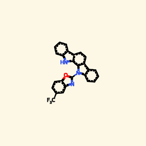 FC(F)(F)c1ccc2oc(-n3c4ccccc4c4ccc5c6ccccc6[nH]c5c43)nc2c1